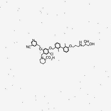 Cc1c(COc2cc(OCc3cncc(C#N)c3)c(CN3CCCC[C@H]3C(=O)O)cc2Cl)cccc1-c1cccc(OCCCNCC(O)CO)c1C